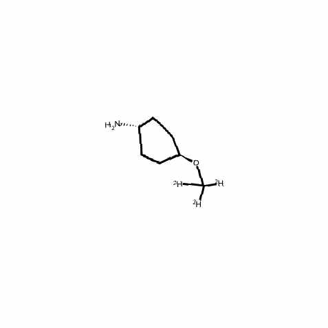 [2H]C([2H])([2H])O[C@H]1CC[C@H](N)CC1